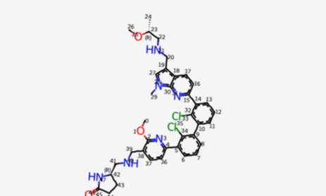 COc1nc(-c2cccc(-c3cccc(-c4ccc5c(CNC[C@@H](C)OC)cn(C)c5n4)c3Cl)c2Cl)ccc1CNC[C@H]1CCC(=O)N1